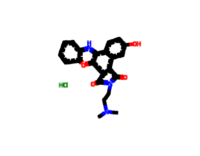 CN(C)CCn1c(=O)c2c3cc(O)ccc3c3[nH]c4ccccc4oc3c2c1=O.Cl